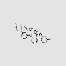 Cc1ccc(-c2cccc(Oc3cccc(-c4ccc(C)cc4)c3[N+](=O)[O-])c2[N+](=O)[O-])cc1